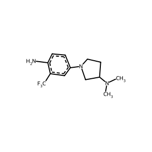 CN(C)C1CCN(c2ccc(N)c(C(F)(F)F)c2)C1